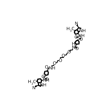 Cc1ccc(NS(=O)(=O)c2ccc(C(=O)NCCOCCOCCOCCOCCNC(=O)c3ccc(S(=O)(=O)Nc4ccc(C)c5c(C#N)c[nH]c45)cc3)cc2)c2[nH]cc(C#N)c12